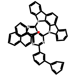 c1ccc(-c2cccc(-c3nc(-c4ccccc4)nc(-n4c5ccccc5c5ccc6c7ccccc7n(-c7nc8c(ccc9ccccc98)s7)c6c54)n3)c2)cc1